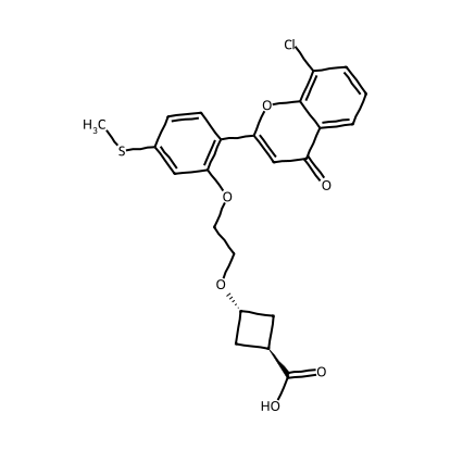 CSc1ccc(-c2cc(=O)c3cccc(Cl)c3o2)c(OCCO[C@H]2C[C@H](C(=O)O)C2)c1